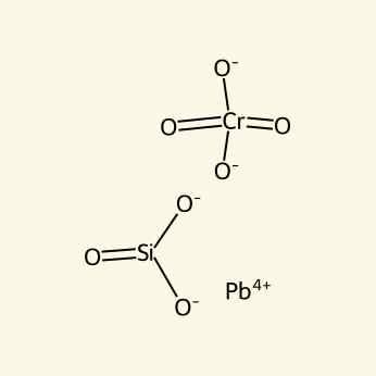 O=[Si]([O-])[O-].[O]=[Cr](=[O])([O-])[O-].[Pb+4]